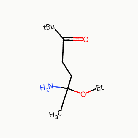 CCOC(C)(N)CCC(=O)C(C)(C)C